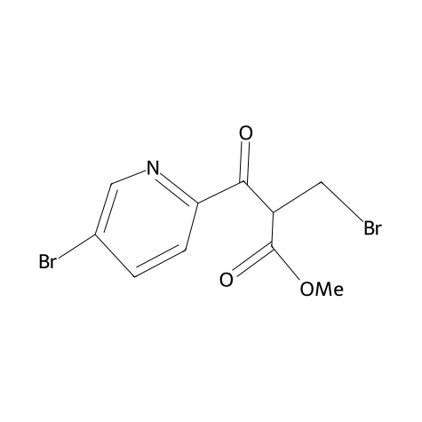 COC(=O)C(CBr)C(=O)c1ccc(Br)cn1